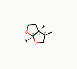 [2H][C@]12OCC[C@H]1[C@@H](C)CO2